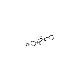 CC[N+]1(c2ccc(Cl)cc2)CCC1C(=O)OCc1ccccc1